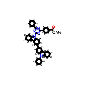 COC(=O)c1ccc(-c2nc(-c3ccccc3)nc(-n3c4ccccc4c4cc(-c5ccc6c(c5)c5ccccc5n6-c5ccccc5)ccc43)n2)cc1